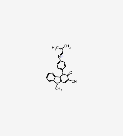 CN(C)/C=N/c1ccc(-n2c(=O)c(C#N)cc3c2c2ccccc2n3C)cc1